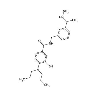 CCCN(CCC)c1ccc(C(=O)NCc2cccc(C(C)NN)c2)cc1S